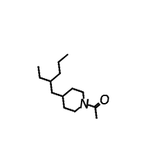 CCCC(CC)CC1CCN(C(C)=O)CC1